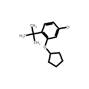 CC(C)(C)c1ccc(Cl)cc1OC1CCCC1